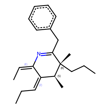 C/C=C1/N=C(Cc2ccccc2)[C@](C)(CCC)[C@@H](C)/C1=C/CC